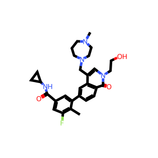 Cc1c(F)cc(C(=O)NC2CC2)cc1-c1ccc2c(=O)n(CCO)cc(CN3CCCN(C)CC3)c2c1